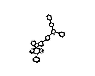 c1ccc(-c2ccc(-c3cc(-c4ccc(-c5ccc6c(c5)-c5ccccc5C65c6ccccc6N(c6ccccc6)c6ccccc65)cc4)nc(-c4ccccc4)n3)cc2)cc1